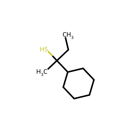 CCC(C)(S)C1CCCCC1